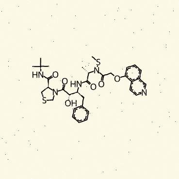 CSN(C(=O)COc1cccc2cnccc12)[C@@H](C)C(=O)N[C@@H](Cc1ccccc1)[C@H](O)C(=O)N1CSC[C@H]1C(=O)NC(C)(C)C